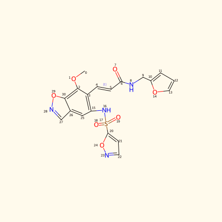 COc1c(/C=C/C(=O)NCc2ccco2)c(NS(=O)(=O)c2ccno2)cc2cnoc12